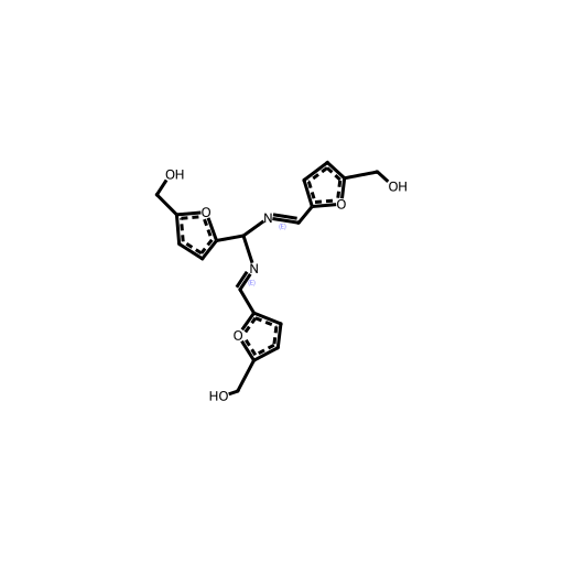 OCc1ccc(/C=N/C(/N=C/c2ccc(CO)o2)c2ccc(CO)o2)o1